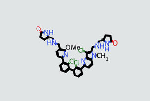 COc1nc(-c2cccc(-c3cccc(-c4ccc5c(n4)c(Cl)c(CNC[C@H]4CCC(=O)N4)n5C)c3Cl)c2Cl)ccc1CNC[C@H]1CCC(=O)N1